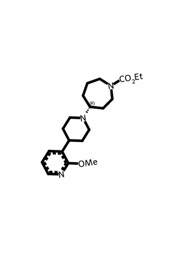 CCOC(=O)N1CCC[C@@H](N2CCC(c3cccnc3OC)CC2)CC1